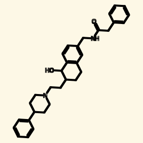 O=C(Cc1ccccc1)NCc1ccc2c(c1)CCC(CCN1CCC(c3ccccc3)CC1)C2O